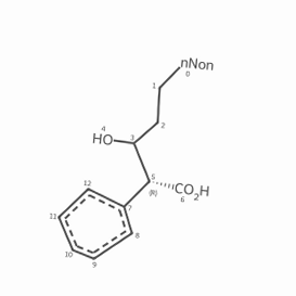 CCCCCCCCCCCC(O)[C@H](C(=O)O)c1ccccc1